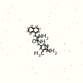 Cc1cc(CNC(=O)[C@@H](N)Cc2cccc3ccccc23)cnc1N